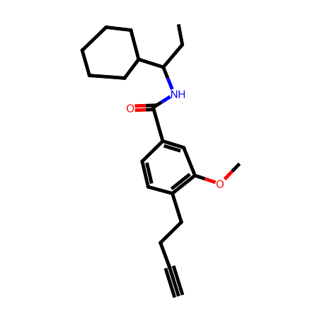 C#CCCc1ccc(C(=O)NC(CC)C2CCCCC2)cc1OC